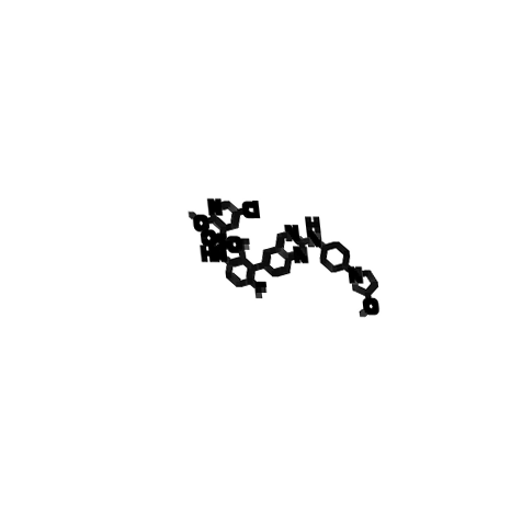 COc1ncc(Cl)cc1S(=O)(=O)Nc1ccc(F)c(-c2ccc3nc(NC4CCC(N5CCC(OC)C5)CC4)ncc3c2)c1F